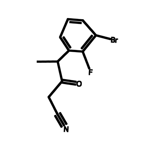 CC(C(=O)CC#N)c1cccc(Br)c1F